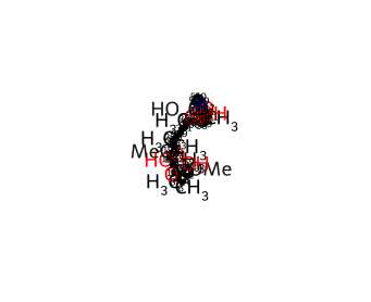 CO[C@@H]1C[C@H](C[C@@H](C)[C@@H](C)CC(=O)C/C=C(\C)[C@@H](O)[C@@H](OC)C(=O)[C@H](C)C[C@H](C)/C=C/C=C/C=C(\C)[C@@H](O)C[C@@H]2CC[C@@H](C)[C@](O)(C(=O)C(=O)N3CCCC[C@H]3C(=O)O)O2)CC[C@H]1O